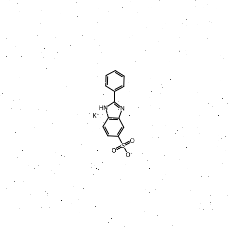 O=S(=O)([O-])c1ccc2[nH]c(-c3ccccc3)nc2c1.[K+]